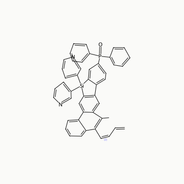 C=C/C=C\c1c(C)c2cc3c(cc2c2ccccc12)[Si](c1cccnc1)(c1cccnc1)c1cc(P(=O)(c2ccccc2)c2ccccc2)ccc1-3